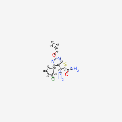 NC(=O)c1sc2nc(OCC3CCC3)nc(-c3cccc(Cl)c3)c2c1N